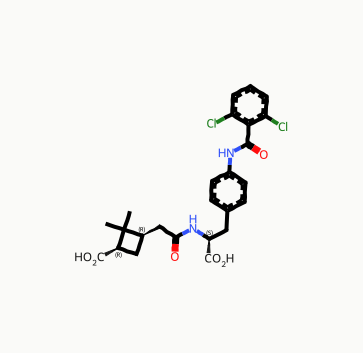 CC1(C)[C@@H](CC(=O)N[C@@H](Cc2ccc(NC(=O)c3c(Cl)cccc3Cl)cc2)C(=O)O)C[C@H]1C(=O)O